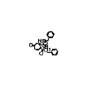 NC1(C(=O)OCc2ccccc2)CCC(=O)CC1(N)C(=O)OCc1ccccc1